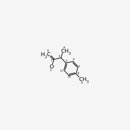 C=C([O])C(C)c1ccc(C)cc1